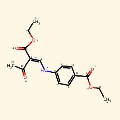 CCOC(=O)/C(=C/Nc1ccc(C(=O)OCC)cc1)C(C)=O